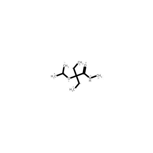 CCC(CC)(OC(C)C)C(=O)NC